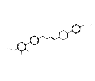 CCCCCCOc1ccc(-c2ccc(CC/C=C/C3CCC(c4ccc(CCCCC)cc4)CC3)cc2)c(F)c1F